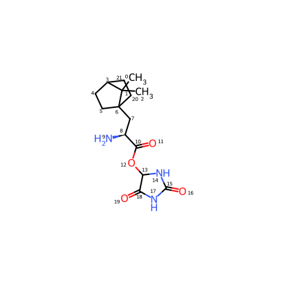 CC1(C)C2CCC1(C[C@H](N)C(=O)OC1NC(=O)NC1=O)CC2